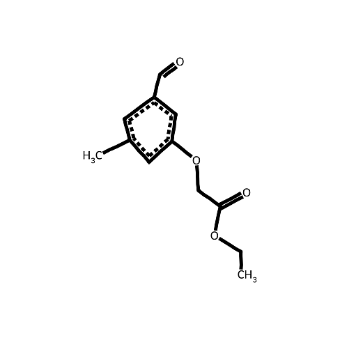 CCOC(=O)COc1cc(C)cc(C=O)c1